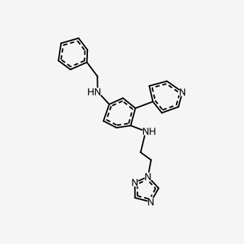 c1ccc(CNc2ccc(NCCn3cncn3)c(-c3ccncc3)c2)cc1